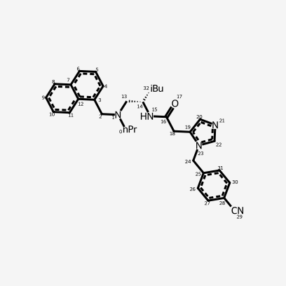 CCCN(Cc1cccc2ccccc12)C[C@@H](NC(=O)Cc1cncn1Cc1ccc(C#N)cc1)[C@@H](C)CC